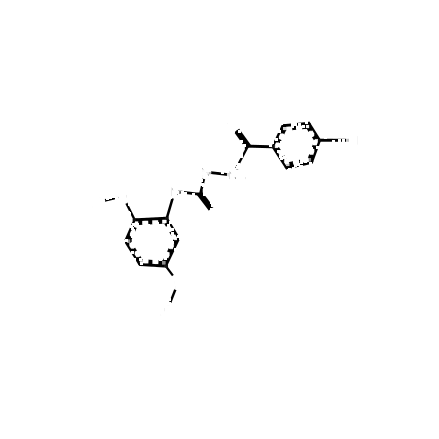 COc1ccc(OC)c(NC(=O)NNC(=O)c2ccc(Cl)cc2)c1